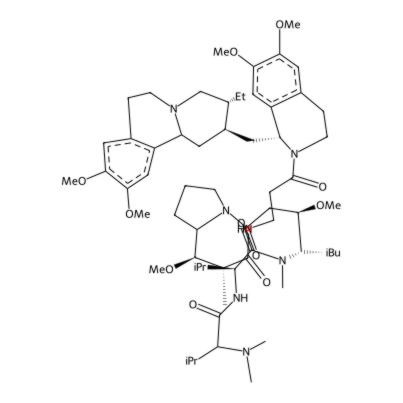 CC[C@H]1CN2CCc3cc(OC)c(OC)cc3C2C[C@@H]1C[C@@H]1c2cc(OC)c(OC)cc2CCN1C(=O)CCNC(=O)[C@H](C)[C@@H](OC)C1CCCN1C(=O)C[C@@H](OC)[C@H]([C@@H](C)CC)N(C)C(=O)[C@@H](NC(=O)C(C(C)C)N(C)C)C(C)C